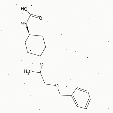 CC(COCc1ccccc1)O[C@H]1CC[C@H](NC(=O)O)CC1